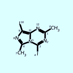 Cc1nc(I)n2c(C)nc(I)c2n1